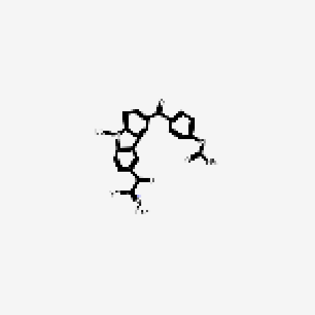 CCCCC(=O)Oc1ccc(C(=O)c2ccc3c(c2)c2cc(C(=O)/C(CCC)=N/OC(C)=O)ccc2n3CC)cc1